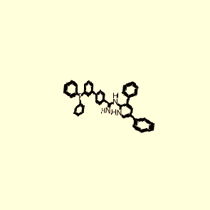 N=C(NC1NC=C(c2ccccc2)C=C1c1ccccc1)c1ccc(-c2cccc(P(c3ccccc3)c3ccccc3)c2)cc1